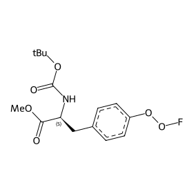 COC(=O)[C@H](Cc1ccc(OOF)cc1)NC(=O)OC(C)(C)C